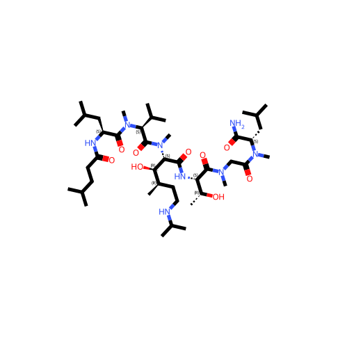 CC(C)CCC(=O)N[C@@H](CC(C)C)C(=O)N(C)[C@H](C(=O)N(C)[C@H](C(=O)N[C@H](C(=O)N(C)CC(=O)N(C)[C@@H](CC(C)C)C(N)=O)[C@@H](C)O)[C@H](O)[C@H](C)CCNC(C)C)C(C)C